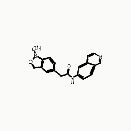 O=C(Cc1ccc2c(c1)COB2O)Nc1ccc2cnccc2c1